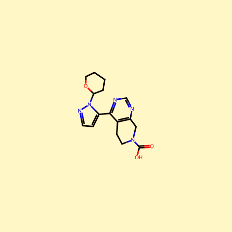 O=C(O)N1CCc2c(ncnc2-c2ccnn2C2CCCCO2)C1